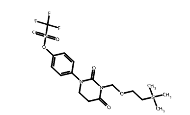 C[Si](C)(C)CCOCN1C(=O)CCN(c2ccc(OS(=O)(=O)C(F)(F)F)cc2)C1=O